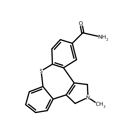 CN1CC2=C(C1)c1cc(C(N)=O)ccc1Sc1ccccc12